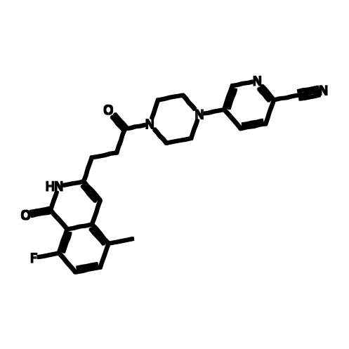 Cc1ccc(F)c2c(=O)[nH]c(CCC(=O)N3CCN(c4ccc(C#N)nc4)CC3)cc12